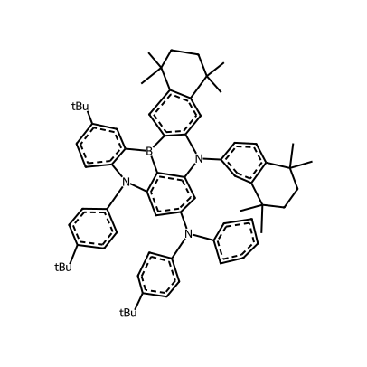 CC(C)(C)c1ccc(N(c2ccccc2)c2cc3c4c(c2)N(c2ccc5c(c2)C(C)(C)CCC5(C)C)c2cc5c(cc2B4c2cc(C(C)(C)C)ccc2N3c2ccc(C(C)(C)C)cc2)C(C)(C)CCC5(C)C)cc1